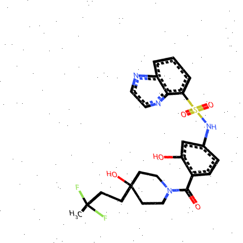 CC(F)(F)CCC1(O)CCN(C(=O)c2ccc(NS(=O)(=O)c3cccc4nccnc34)cc2O)CC1